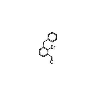 O=Cc1cccc(Cc2ccccc2)c1Br